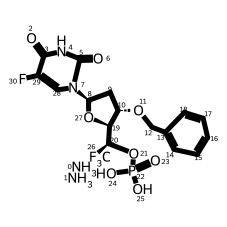 N.N.O=c1[nH]c(=O)n([C@H]2C[C@H](OCc3ccccc3)[C@@H]([C@@H](OP(=O)(O)O)C(F)(F)F)O2)cc1F